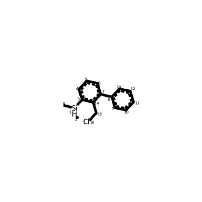 C[SiH](C)c1cccc(-c2ccccc2)c1CCl